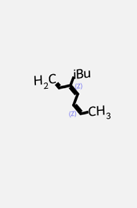 C=C/C(=C\C=C/C)C(C)CC